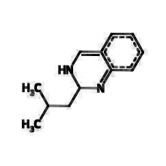 CC(C)CC1N=c2ccccc2=CN1